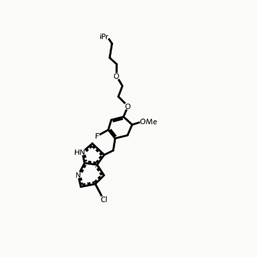 COC1CC(Cc2c[nH]c3ncc(Cl)cc23)=C(F)C=C1OCCOCCCC(C)C